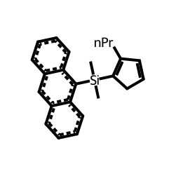 CCCC1=C([Si](C)(C)c2c3ccccc3cc3ccccc23)CC=C1